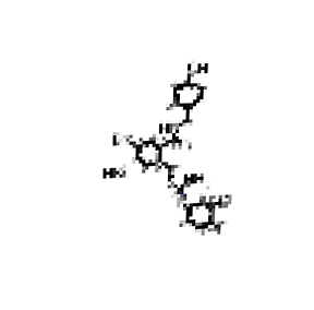 Br.N#Cc1ccc(CNC(=O)c2cc(Br)ccc2CS/C(N)=N/c2ccc(F)c(Cl)c2)cc1